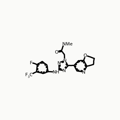 CNC(=O)Cn1nc(Nc2ccc(F)c(C(F)(F)F)c2)nc1-c1cnc2c(c1)OCC2